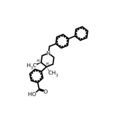 C[C@H]1CN(Cc2ccc(-c3ccccc3)cc2)CC[C@@]1(C)c1cccc(C(=O)O)c1